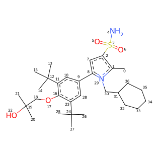 Cc1c(S(N)(=O)=O)cc(-c2cc(C(C)(C)C)c(OCC(C)(C)O)c(C(C)(C)C)c2)n1CC1CCCCC1